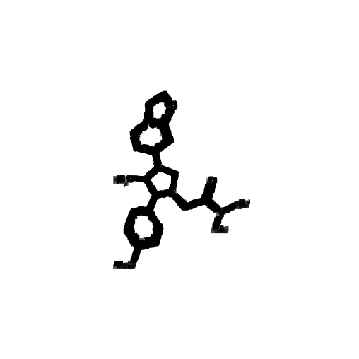 CCCCN(CCCC)C(=O)CN1CC(c2ccc3ccoc3c2)C(C(=O)O)C1c1ccc(OC)cc1